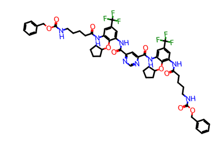 O=C(CCCCNC(=O)OCc1ccccc1)Nc1cc(C(F)(F)F)cc(NC(=O)c2cc(C(=O)Nc3cc(C(F)(F)F)cc(NC(=O)CCCCNC(=O)OCc4ccccc4)c3OC3CCCC3)ncn2)c1OC1CCCC1